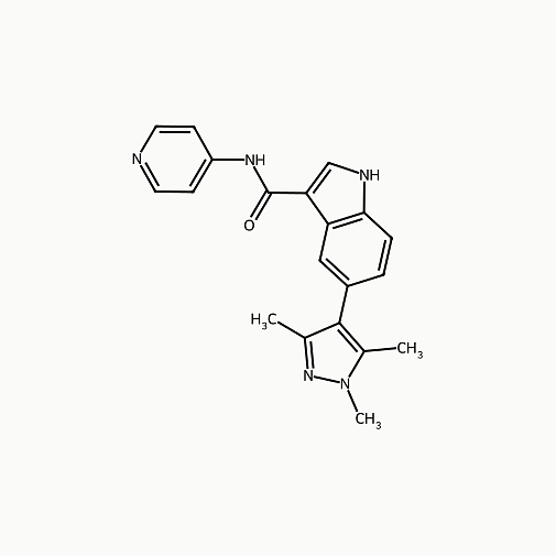 Cc1nn(C)c(C)c1-c1ccc2[nH]cc(C(=O)Nc3ccncc3)c2c1